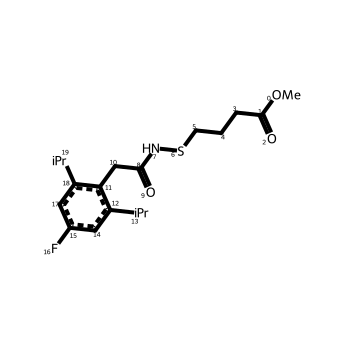 COC(=O)CCCSNC(=O)Cc1c(C(C)C)cc(F)cc1C(C)C